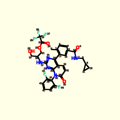 Cc1ccc(C(=O)NCC2CC2)cc1-c1nc(NC(CO)COC(=O)C(F)(F)F)nc2c1ccc(=O)n2-c1c(F)cccc1F